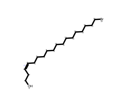 OCC/C=C\CCCCCCCCCCCCCCBr